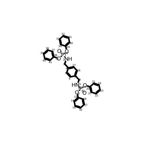 O=P(NCc1ccc(CNP(=O)(Oc2ccccc2)Oc2ccccc2)cc1)(Oc1ccccc1)Oc1ccccc1